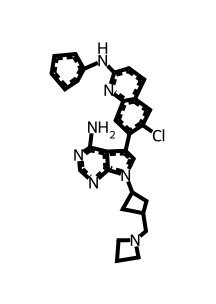 Nc1ncnc2c1c(-c1cc3nc(Nc4ccccc4)ccc3cc1Cl)cn2C1CC(CN2CCC2)C1